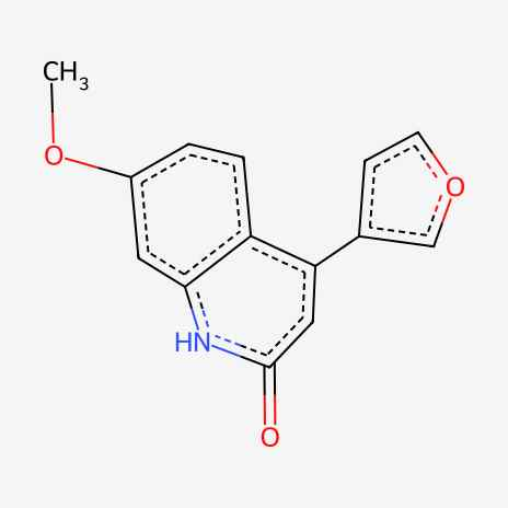 COc1ccc2c(-c3ccoc3)cc(=O)[nH]c2c1